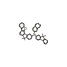 CC1(C)c2ccccc2-c2ccc(N(c3ccc4c(c3)-c3c(ccc5c3oc3ccccc35)C4(C)C)c3ccc4ccccc4c3)cc21